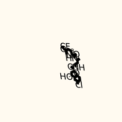 C=C(CCNC(=O)[C@H]1C[C@@H](O)c2cc(Cl)ccc2O1)NC(=O)c1ccc(OC(F)(F)F)cn1